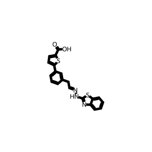 O=C(O)c1ccc(-c2cccc(CC=NNc3nc4ccccc4s3)c2)s1